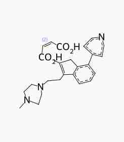 CC1=C(CCN2CCN(C)CC2)c2cccc(-c3ccncc3)c2C1.O=C(O)/C=C\C(=O)O